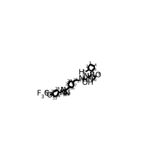 Cc1ccccc1N1C(=O)CN/C1=N\C(O)NCCc1ccc(-c2ncn(-c3ccc(OC(F)(F)F)cc3)n2)cc1